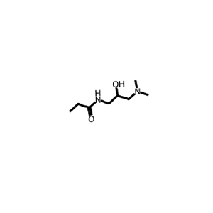 CCC(=O)NCC(O)CN(C)C